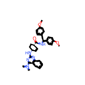 COc1ccc(C(NC(=O)[C@H]2CC[C@@H](Nc3nc(N(C)C)c4ccccc4n3)CC2)c2ccc(OC)cc2)cc1